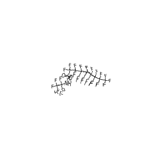 COC(F)(NS(=O)(=O)C(F)(F)C(F)(F)C(F)(F)C(F)(F)C(F)(F)C(F)(F)C(F)(F)C(F)(F)F)C(F)(F)F